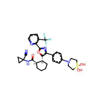 N#CC1(NC(=O)[C@@H]2CCCC[C@H]2c2oc(-c3ncccc3C(F)(F)F)nc2-c2ccc(N3CCS(O)(O)CC3)cc2)CC1